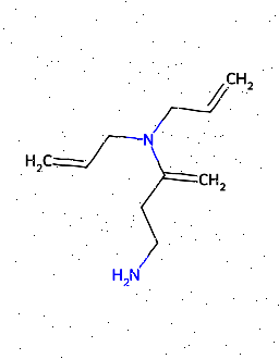 C=CCN(CC=C)C(=C)CCN